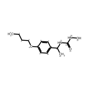 CCCCOc1ccc(C(C)NC(=O)NO)cc1